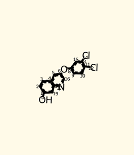 Oc1ccc2cc(Oc3ccc(Cl)c(Cl)c3)cnc2c1